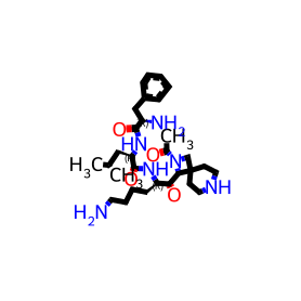 CC(=O)N1CC2(CCNCC2)C1C(=O)[C@@H](CCCCN)NC(=O)[C@@H](CC(C)C)NC(=O)[C@H](N)Cc1ccccc1